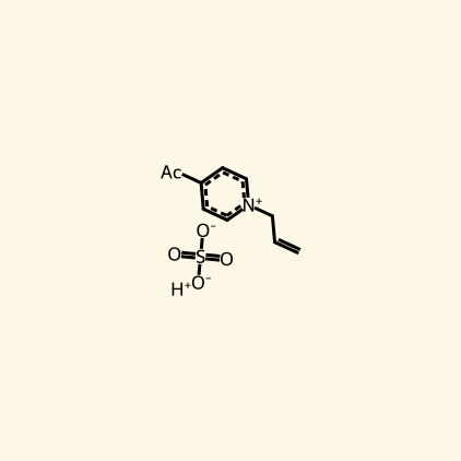 C=CC[n+]1ccc(C(C)=O)cc1.O=S(=O)([O-])[O-].[H+]